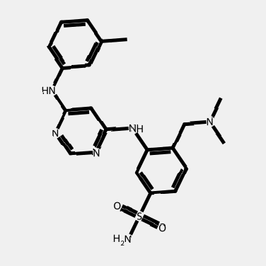 Cc1cccc(Nc2cc(Nc3cc(S(N)(=O)=O)ccc3CN(C)C)ncn2)c1